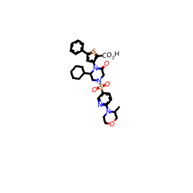 CC1COCCN1c1ccc(S(=O)(=O)N2CC(=O)N(c3cc(-c4ccccc4)sc3C(=O)O)C(C3CCCCC3)C2)cn1